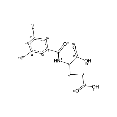 O=C(O)CCC(NC(=O)c1cc(F)cc(F)c1)C(=O)O